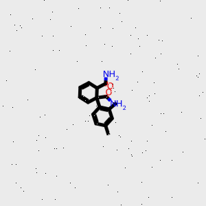 Cc1ccc(C2(C(N)=O)C=CC=CC2C(N)=O)c(C)c1